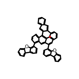 c1ccc(-c2cc3ccccc3cc2-c2c3cccc(-c4cccc5c4oc4ccccc45)c3cc3c(-c4cccc5c4oc4ccccc45)cccc23)cc1